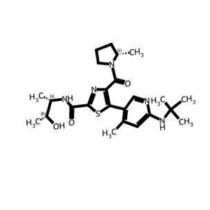 Cc1cc(NC(C)(C)C)ncc1-c1sc(C(=O)N[C@@H](C)[C@@H](C)O)nc1C(=O)N1CCC[C@@H]1C